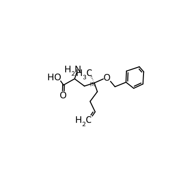 C=CCC[C@@](C)(CC(N)C(=O)O)OCc1ccccc1